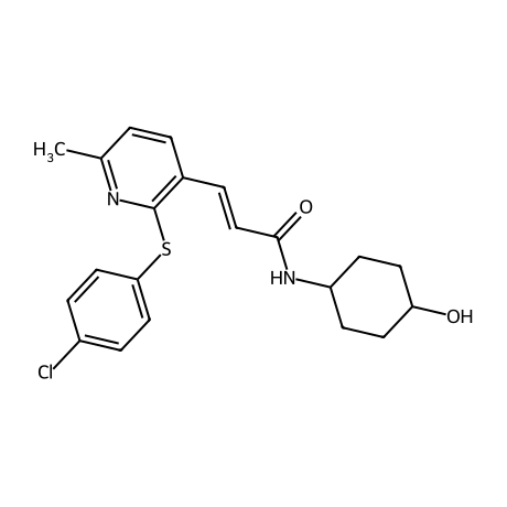 Cc1ccc(C=CC(=O)NC2CCC(O)CC2)c(Sc2ccc(Cl)cc2)n1